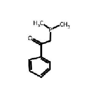 CP(C)CC(=O)c1ccccc1